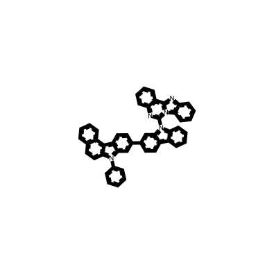 c1ccc(-n2c3cc(-c4ccc5c6ccccc6n(-c6nc7ccccc7c7nc8ccccc8n67)c5c4)ccc3c3c4ccccc4ccc32)cc1